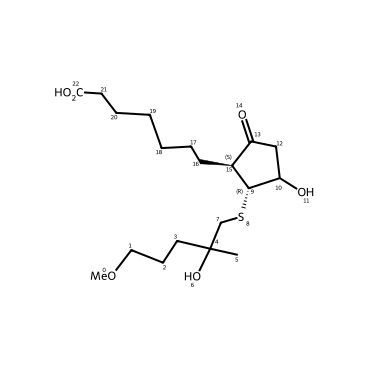 COCCCC(C)(O)CS[C@H]1C(O)CC(=O)[C@@H]1CCCCCCC(=O)O